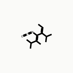 C/C=C(\C(N=C=O)=C(/C)C(C)C)C(C)C